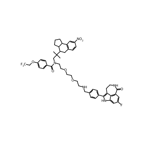 CC(C)(CN(CCOCCOCCNCc1ccc(-c2[nH]c3cc(F)cc4c3c2CCNC4=O)cc1)C(=O)c1ccc(OCC(F)(F)F)cc1)C1Cc2ccc([N+](=O)[O-])cc2C2CCCC21